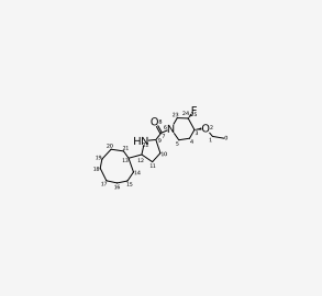 CCO[C@H]1CCN(C(=O)C2CCC(C3CCCCCCCC3)N2)C[C@H]1F